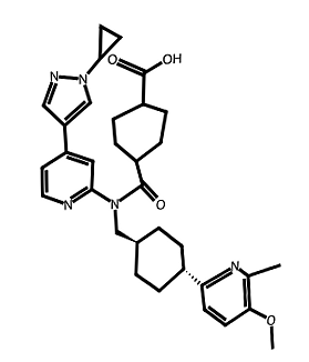 COc1ccc([C@H]2CC[C@H](CN(C(=O)C3CCC(C(=O)O)CC3)c3cc(-c4cnn(C5CC5)c4)ccn3)CC2)nc1C